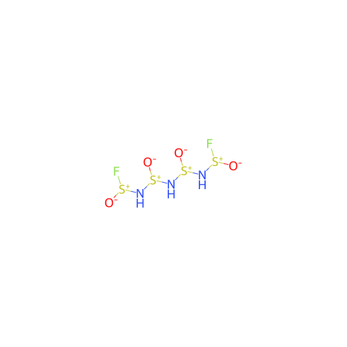 [O-][S+](F)N[S+]([O-])N[S+]([O-])N[S+]([O-])F